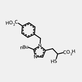 CCCCc1ncc(CC(S)C(=O)O)n1Cc1ccc(C(=O)O)cc1